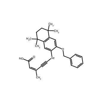 CC(C#C[Se]c1cc2c(cc1OCc1ccccc1)C(C)(C)CCC2(C)C)=CC(=O)O